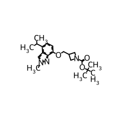 CC(C)c1ccc(OCC2CN(C(=O)OC(C)(C)C)C2)c2nn(C)cc12